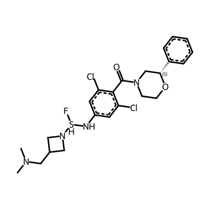 CN(C)CC1CN([SH](F)Nc2cc(Cl)c(C(=O)N3CCO[C@@H](c4ccccc4)C3)c(Cl)c2)C1